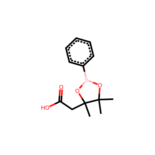 CC1(C)OB(c2ccccc2)OC1(C)CC(=O)O